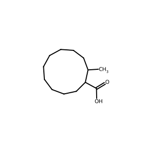 CC1CCCCCCCCCC1C(=O)O